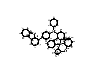 c1ccc(N(c2ccc(-c3cccc4c3oc3ccccc34)cc2)c2cccc3c2-c2ccccc2C32c3ccccc3Oc3ccc4ccccc4c32)cc1